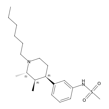 CCCCCCN1CC[C@@H](c2cccc(NS(C)(=O)=O)c2)[C@@H](C)[C@@H]1C